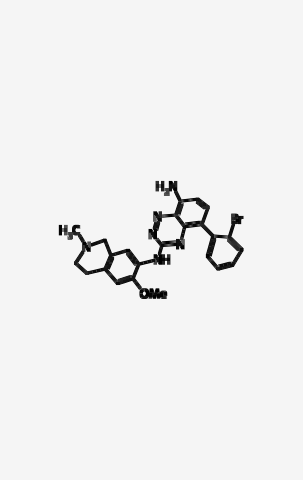 COc1cc2c(cc1Nc1nnc3c(N)ccc(-c4ccccc4Br)c3n1)CN(C)CC2